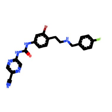 N#Cc1cnc(NC(=O)Nc2ccc(CCNCc3ccc(F)cc3)c(Br)c2)cn1